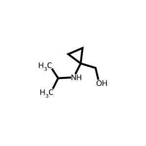 CC(C)NC1(CO)CC1